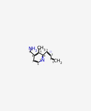 C=C/C=C\c1nccc(CN)c1C